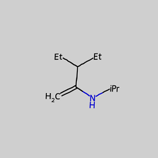 C=C(NC(C)C)C(CC)CC